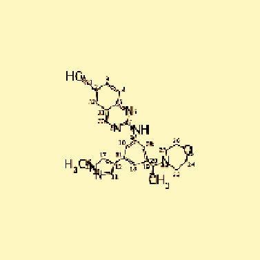 C#Cc1ccc2nc(Nc3cc(-c4cnn(C)c4)cc(C(C)N4CCOCC4)c3)ncc2c1